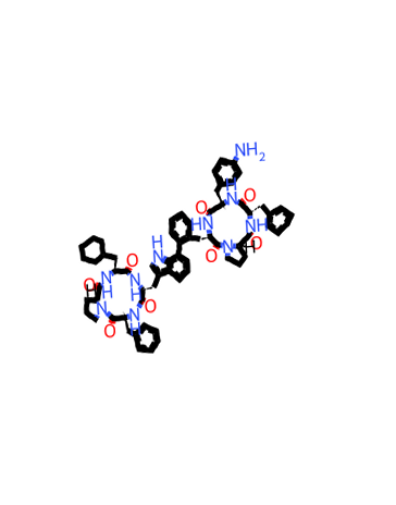 Nc1ccc(C[C@H]2NC(=O)[C@H](Cc3ccccc3)NC(=O)[C@H]3CCCN3C(=O)[C@H](Cc3ccccc3-c3cccc4c(C[C@H]5NC(=O)[C@H](CC6CCCCC6)NC(=O)[C@H]6CCCN6C(=O)[C@H](Cc6ccccc6)NC5=O)c[nH]c34)NC2=O)cc1